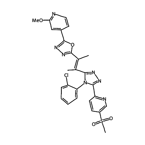 COc1cc(-c2nnc(/C(C)=C(\C)c3nnc(-c4ccc(S(C)(=O)=O)cn4)n3-c3ccccc3Cl)o2)ccn1